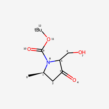 C[C@@H]1CC(=O)C(CO)N1C(=O)OC(C)(C)C